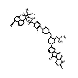 CN(C)CC1CN(c2ccc3c(c2)C(=O)N(C2CCC(=O)NC2=O)C3=O)CCN1CC1CCN(c2ccc(C(=O)NC3C(C)(C)[C@@H]4Oc5ccc(C#N)c6nccc(c56)C34C)cc2F)CC1